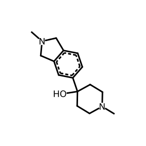 CN1CCC(O)(c2ccc3c(c2)CN(C)C3)CC1